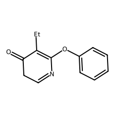 CCC1=C(Oc2ccccc2)N=CCC1=O